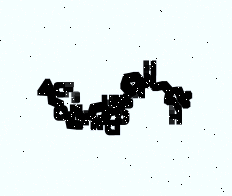 CC1(C)CC(CCNc2cccc(SNC(=O)c3ccc(-n4ccc(OCCC5(C(F)(F)F)CC5)n4)nc3Cl)n2)CN1